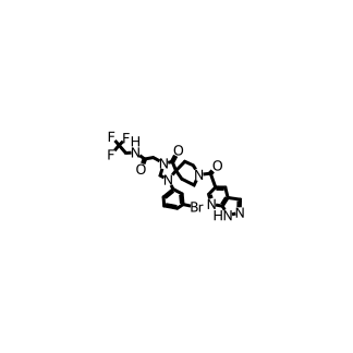 O=C(CN1CN(c2cccc(Br)c2)C2(CCN(C(=O)c3cnc4[nH]ncc4c3)CC2)C1=O)NCC(F)(F)F